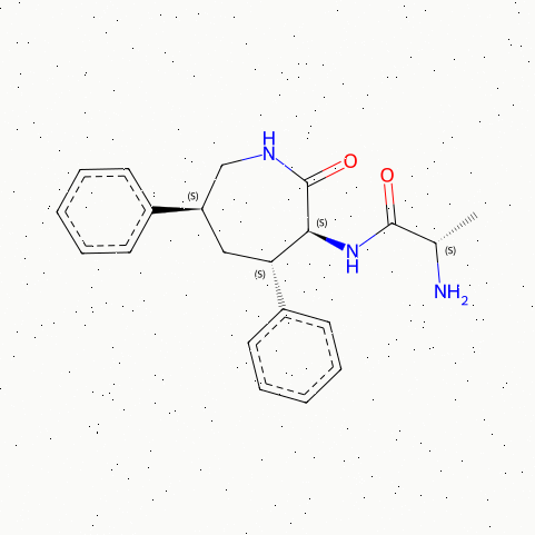 C[C@H](N)C(=O)N[C@@H]1C(=O)NC[C@H](c2ccccc2)C[C@H]1c1ccccc1